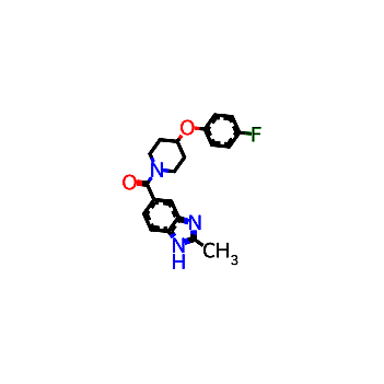 Cc1nc2cc(C(=O)N3CCC(Oc4ccc(F)cc4)CC3)ccc2[nH]1